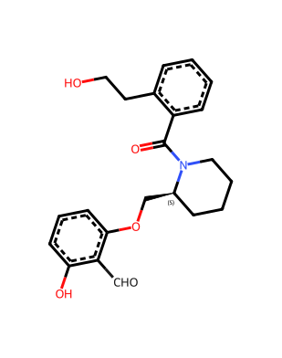 O=Cc1c(O)cccc1OC[C@@H]1CCCCN1C(=O)c1ccccc1CCO